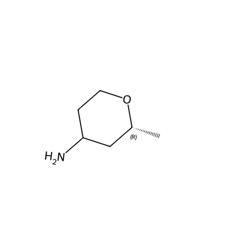 C[C@@H]1CC(N)CCO1